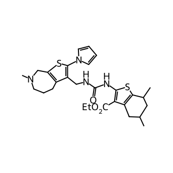 CCOC(=O)c1c(NC(=O)NCc2c(-n3cccc3)sc3c2CCCN(C)C3)sc2c1CC(C)CC2C